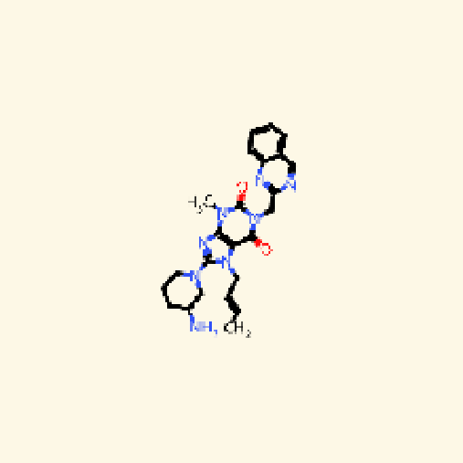 CC=CCn1c(N2CCC[C@H](N)C2)nc2c1c(=O)n(Cc1ncc3ccccc3n1)c(=O)n2C